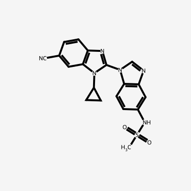 CS(=O)(=O)Nc1ccc2c(c1)ncn2-c1nc2ccc(C#N)cc2n1C1CC1